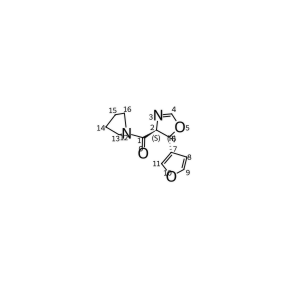 O=C([C@H]1N=CO[C@@H]1c1ccoc1)N1CCCC1